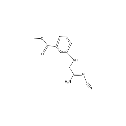 COC(=O)c1cccc(NCC(N)=NC#N)c1